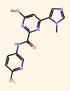 COc1cc(-c2cncn2C)nc(C(=O)Nc2ccc(C(F)(F)F)nc2)n1